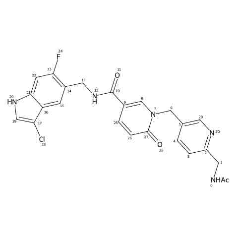 CC(=O)NCc1ccc(Cn2cc(C(=O)NCc3cc4c(Cl)c[nH]c4cc3F)ccc2=O)cn1